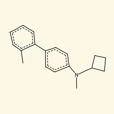 Cc1c[c]ccc1-c1ccc(N(C)C2CCC2)cc1